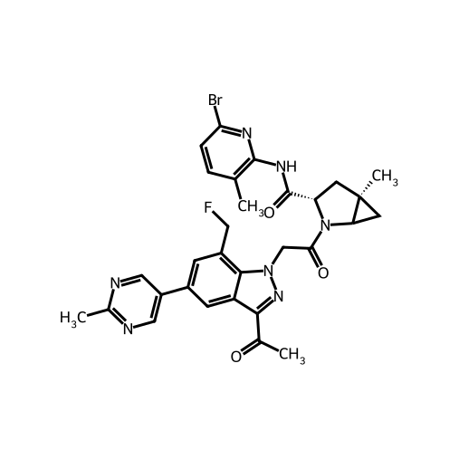 CC(=O)c1nn(CC(=O)N2C3C[C@]3(C)C[C@H]2C(=O)Nc2nc(Br)ccc2C)c2c(CF)cc(-c3cnc(C)nc3)cc12